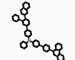 c1ccc(-c2cc(-c3ccc(N(c4ccccc4)c4ccc(-c5ccc(-c6cc7ccccc7c7ccccc67)cc5)cc4)cc3)ccc2-c2ccc3ccccc3c2)cc1